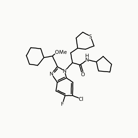 COC(c1nc2cc(F)c(Cl)cc2n1C(CC1CCSCC1)C(=O)NC1CCCC1)C1CCCCC1